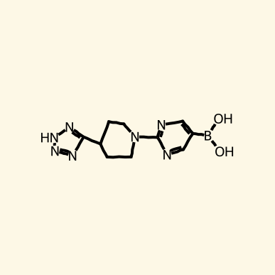 OB(O)c1cnc(N2CCC(c3nn[nH]n3)CC2)nc1